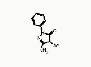 CC(=O)C1C(=O)N(c2ccccc2)N=C1N